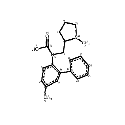 Cc1ccc(N(CC2CCCN2C)C(=O)O)c(-c2ccccc2)c1